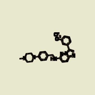 CN1CCN(c2ccc(CNc3ccc4ncc(-c5cccc(OC(F)(F)F)c5)n4n3)cc2)CC1